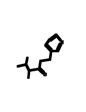 CC(C)C(C)C(=O)CCc1cccnc1